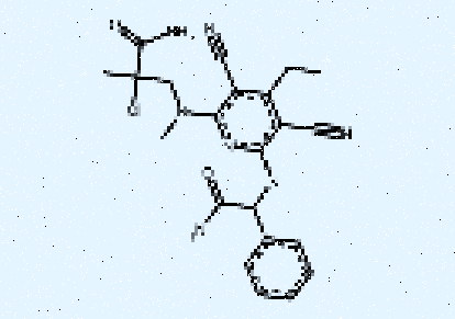 CCc1c(C#N)c(SC(C(N)=O)c2ccccc2)nc(N(C)CC(C)(O)C(N)=O)c1C#N